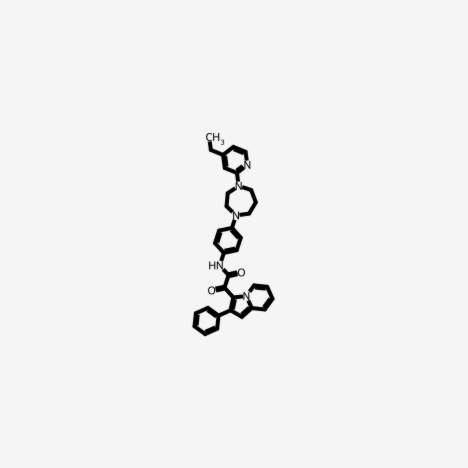 CCc1ccnc(N2CCCN(c3ccc(NC(=O)C(=O)c4c(-c5ccccc5)cc5ccccn45)cc3)CC2)c1